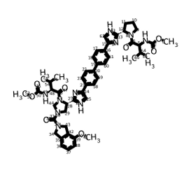 COC(=O)NC(C(=O)N1CCC[C@H]1c1nc(-c2ccc(-c3ccc(-c4c[nH]c([C@@H]5CN(C(=O)N6Cc7cccc(OC)c7C6)CN5C(=O)[C@@H](NC(=O)OC)C(C)C)n4)cc3)cc2)c[nH]1)C(C)C